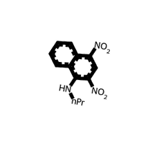 CCCNc1c([N+](=O)[O-])cc([N+](=O)[O-])c2ccccc12